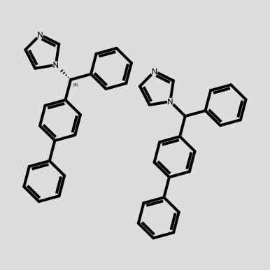 c1ccc(-c2ccc(C(c3ccccc3)n3ccnc3)cc2)cc1.c1ccc(-c2ccc([C@@H](c3ccccc3)n3ccnc3)cc2)cc1